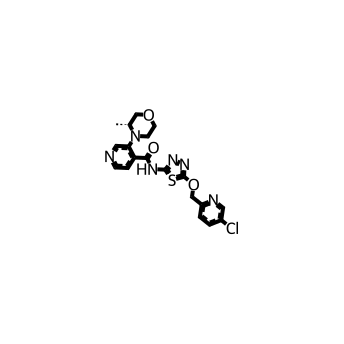 C[C@@H]1COCCN1c1cnccc1C(=O)Nc1nnc(OCc2ccc(Cl)cn2)s1